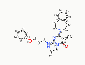 C=CCn1c(NCCCOc2ccccc2)nc(N2CCc3ccccc3CC2)c(C#N)c1=O